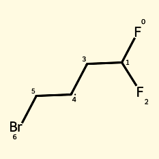 FC(F)C[CH]CBr